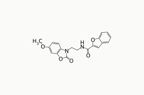 COc1ccc2c(c1)oc(=O)n2CCNC(=O)c1cc2ccccc2o1